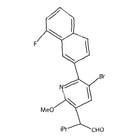 COc1nc(-c2ccc3cccc(F)c3c2)c(Br)cc1C(C=O)C(C)C